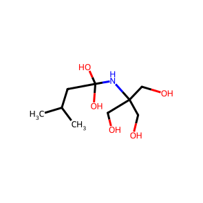 CC(C)CC(O)(O)NC(CO)(CO)CO